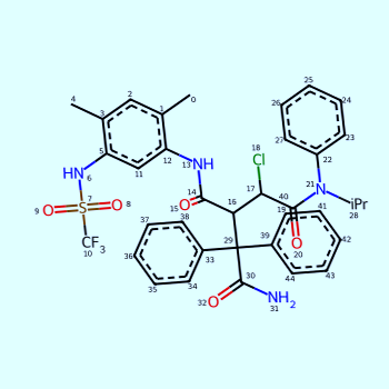 Cc1cc(C)c(NS(=O)(=O)C(F)(F)F)cc1NC(=O)C(C(Cl)C(=O)N(c1ccccc1)C(C)C)C(C(N)=O)(c1ccccc1)c1ccccc1